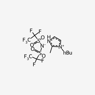 CCCC[n+]1cc[nH]c1C.O=S(=O)([N-]S(=O)(=O)C(F)(F)C(F)(F)F)C(F)(F)C(F)(F)F